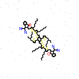 CCCCCCc1cc(C=C2C(=O)c3ccccc3C2=C(C#N)C#N)sc1-c1cc(CCCCCC)c(-c2cc3c(-c4ccc(CC(CC)CCCC)s4)c4sc(-c5sc(-c6sc(C=C7C(=O)c8ccccc8C7=C(C#N)C#N)cc6CCCCCC)cc5CCCCCC)cc4c(-c4ccc(CC(CC)CCCC)s4)c3s2)s1